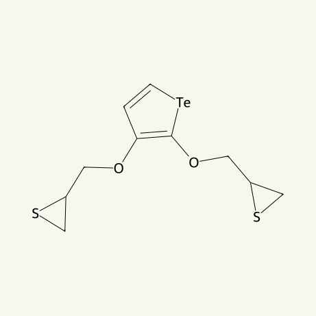 c1cc(OCC2CS2)c(OCC2CS2)[te]1